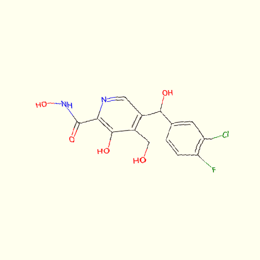 O=C(NO)c1ncc(C(O)c2ccc(F)c(Cl)c2)c(CO)c1O